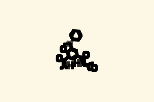 CNC(=O)c1cc(C(=O)NC2COC2)cc2c1OC[C@@H]2c1ccccc1